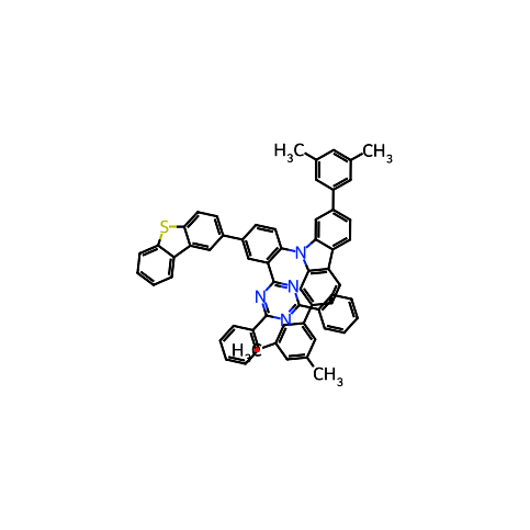 Cc1cc(C)cc(-c2ccc3c4ccc(-c5cc(C)cc(C)c5)cc4n(-c4ccc(-c5ccc6sc7ccccc7c6c5)cc4-c4nc(-c5ccccc5)nc(-c5ccccc5)n4)c3c2)c1